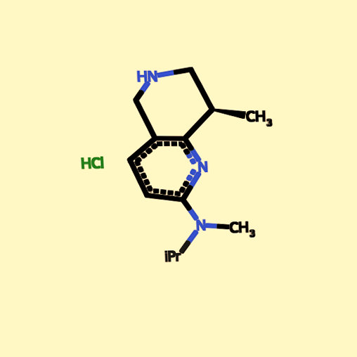 CC(C)N(C)c1ccc2c(n1)[C@H](C)CNC2.Cl